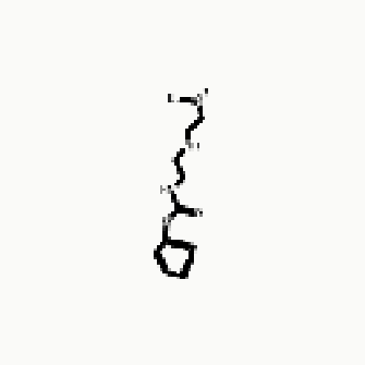 CCN(CC)CCNCCNC(=O)Oc1ccccc1